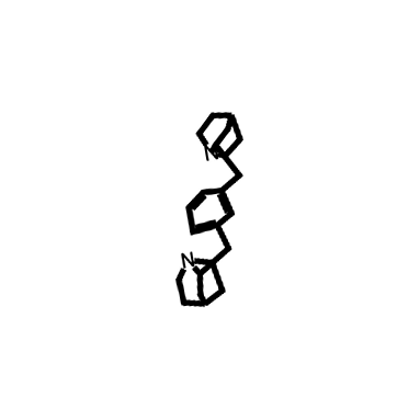 c1cc(CC2CC3CCN2CC3)cc(CC2CC3CCN2CC3)c1